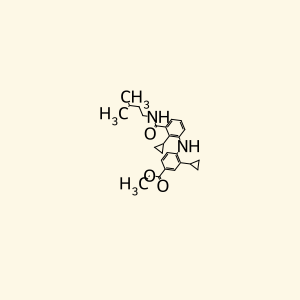 COC(=O)c1ccc(Nc2cccc(C(=O)NCCC(C)C)c2C2CC2)c(C2CC2)c1